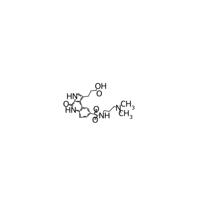 CN(C)CCCNS(=O)(=O)c1ccc2[nH]c(=O)c3[nH]cc(CCC(=O)O)c3c2c1